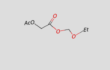 CCOCOC(=O)COC(C)=O